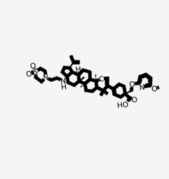 C=C(C)[C@@H]1CC[C@]2(NCCN3CCS(=O)(=O)CC3)CC[C@]3(C)[C@H](CCC4[C@@]5(C)CC=C(C6=CC[C@@](COc7cccc(OC)n7)(C(=O)O)CC6)C(C)(C)C5CC[C@]43C)C12